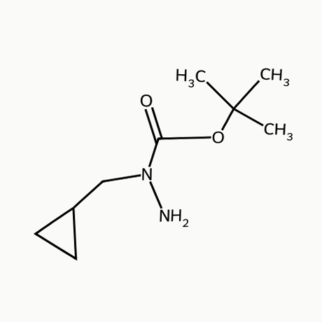 CC(C)(C)OC(=O)N(N)CC1CC1